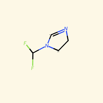 FC(F)N1[C]CN=[C]1